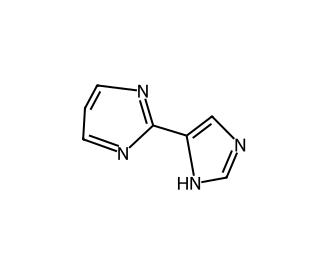 c1cnc(-c2cnc[nH]2)nc1